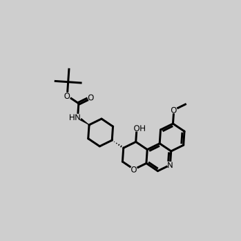 COc1ccc2ncc3c(c2c1)C(O)C([C@H]1CC[C@H](NC(=O)OC(C)(C)C)CC1)CO3